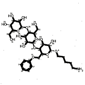 NCCCCCO[C@@H]1OC(COc2ccccc2)[C@@H](O[C@@H]2OC(CO)[C@H](O[C@H]3OC(CO)[C@H](O)C(O)C3O)C(O)C2O)C(O)[C@@H]1O